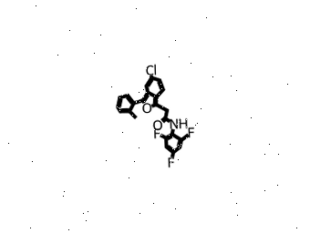 Cc1ccccc1-c1oc(CC(=O)Nc2c(F)cc(F)cc2F)c2ccc(Cl)cc12